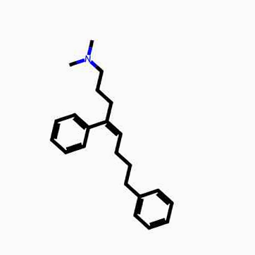 CN(C)CCCC(=CCCCc1ccccc1)c1ccccc1